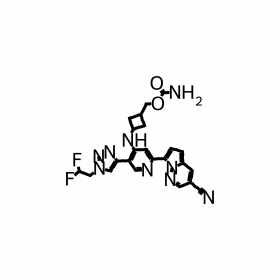 N#Cc1cnn2c(-c3cc(NC4CC(COC(N)=O)C4)c(-c4cn(CC(F)F)nn4)cn3)ccc2c1